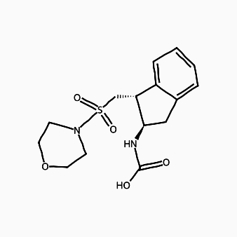 O=C(O)N[C@@H]1Cc2ccccc2[C@H]1CS(=O)(=O)N1CCOCC1